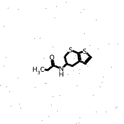 CCC(=O)NC1CSc2sccc2C1